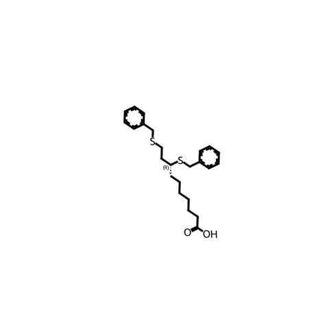 O=C(O)CCCCCC[C@H](CCSCc1ccccc1)SCc1ccccc1